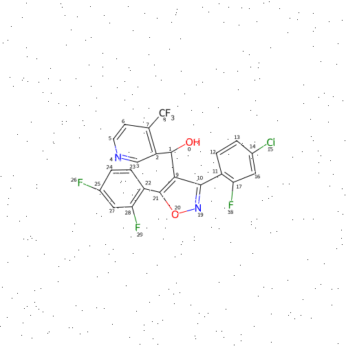 OC(c1cnccc1C(F)(F)F)c1c(-c2ccc(Cl)cc2F)noc1-c1ccc(F)cc1F